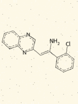 N/C(=C\c1cnc2ccccc2n1)c1ccccc1Cl